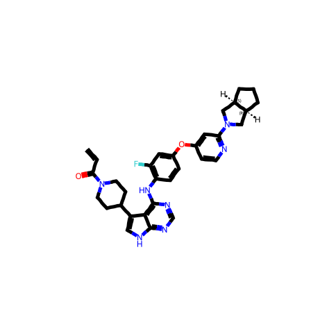 C=CC(=O)N1CCC(c2c[nH]c3ncnc(Nc4ccc(Oc5ccnc(N6C[C@H]7CCC[C@H]7C6)c5)cc4F)c23)CC1